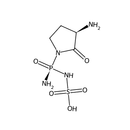 N[C@@H]1CCN([P@@](N)(=O)NS(=O)(=O)O)C1=O